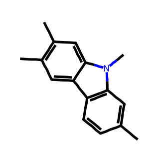 Cc1ccc2c3cc(C)c(C)cc3n(C)c2c1